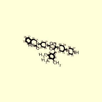 Cc1cc(C[C@@H](OC(=O)N2CCC(N3CCc4ccccc4NC3=O)CC2)C(=O)N2CCC(N3CCNCC3)CC2)cc(C)c1C